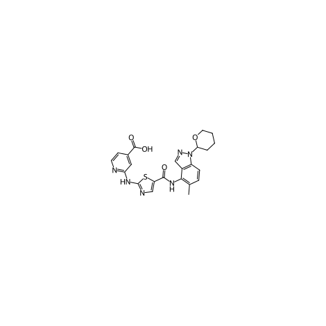 Cc1ccc2c(cnn2C2CCCCO2)c1NC(=O)c1cnc(Nc2cc(C(=O)O)ccn2)s1